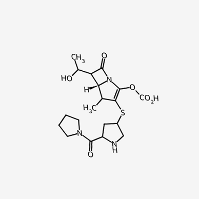 CC(O)C1C(=O)N2C(OC(=O)O)=C(SC3CNC(C(=O)N4CCCC4)C3)C(C)[C@H]12